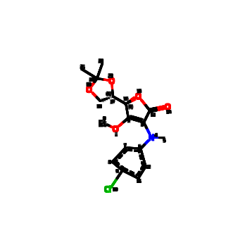 CCOC1=C(N(C)c2ccc(Cl)cc2)C(=O)O[C@@H]1[C@@H]1COC(C)(C)O1